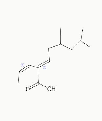 C/C=C\C(=C/CC(C)CC(C)C)C(=O)O